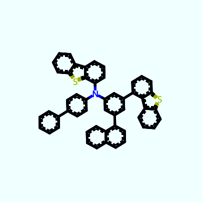 c1ccc(-c2ccc(N(c3cc(-c4cccc5ccccc45)cc(-c4cccc5sc6ccccc6c45)c3)c3cccc4c3sc3ccccc34)cc2)cc1